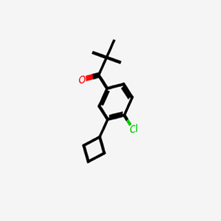 CC(C)(C)C(=O)c1ccc(Cl)c(C2CCC2)c1